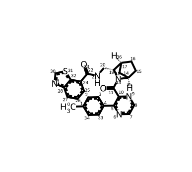 Cc1ccc(-c2nccnc2C(=O)N2[C@@H]3CC[C@@H](C3)[C@H]2CNC(=O)c2cccc3ncsc23)cc1